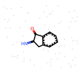 N=C1Cc2ccccc2C1=O